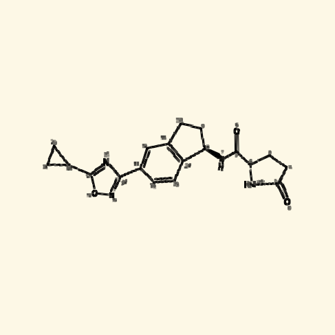 O=C1CCC(C(=O)N[C@@H]2CCc3cc(-c4noc(C5CC5)n4)ccc32)N1